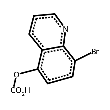 O=C(O)Oc1ccc(Br)c2ncccc12